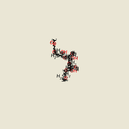 C=C(C)C(=O)OCCC[SiH2]O[Si](C)(C)CC[SiH2]C(C[SiH2]O[Si](C)(C)C(C[SiH2]O[Si](C)(C)C)C(C[SiH2]O[Si](C)(C)C(C[SiH2]O[Si](C)(C)C)C(C[SiH2]O[Si](C)(C)CC[SiH2]O[Si](C)(C)C)[Si](C)(C)O)[Si](C)(C)O)[Si](C)(C)O